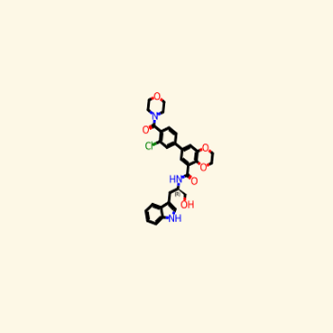 O=C(N[C@@H](CO)Cc1c[nH]c2ccccc12)c1cc(-c2ccc(C(=O)N3CCOCC3)c(Cl)c2)cc2c1OCCO2